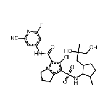 CC1CCC(CC(C)(O)CO)C1NS(=O)(=O)c1c(Cl)c(C(=O)Nc2cc(F)nc(C#N)c2)n2c1CCC2